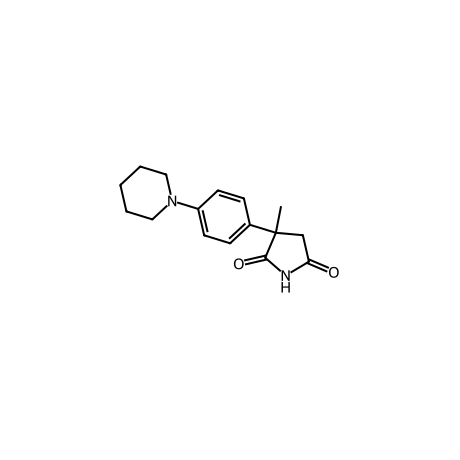 CC1(c2ccc(N3CCCCC3)cc2)CC(=O)NC1=O